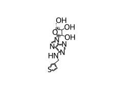 OC[C@H]1O[C@@H](n2cnc3c(NCc4ccsc4)ncnc32)C(O)C1O